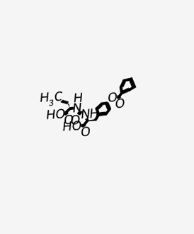 CCC[C@H](NC(=O)N[C@@H](Cc1ccc(OC(=O)c2ccccc2)cc1)C(=O)O)C(=O)O